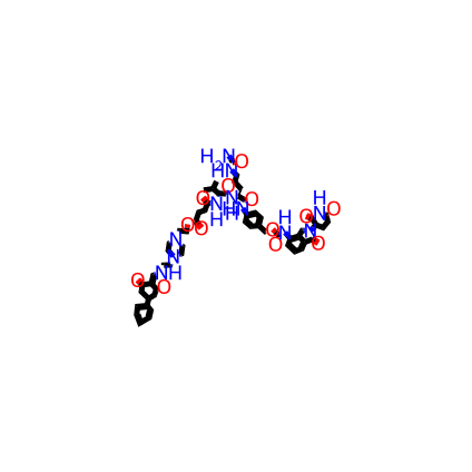 CC(C)[C@H](NC(=O)CCC(=O)OCCN1CCN(CCNC=C2C(=O)CC(c3ccccc3)CC2=O)CC1)C(=O)N[C@@H](CCCNC(N)=O)C(=O)Nc1ccc(COC(=O)Nc2cccc3c2CN(C2CCC(=O)NC2=O)C3=O)cc1